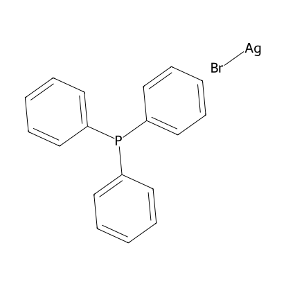 [Br][Ag].c1ccc(P(c2ccccc2)c2ccccc2)cc1